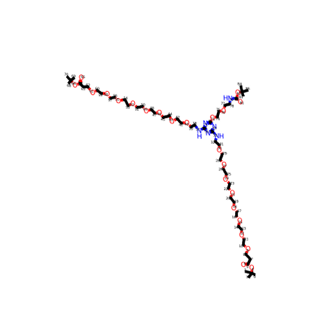 CC(C)(C)OC(=O)CCOCCOCCOCCOCCOCCOCCOCCOCCNc1nc(NCCOCCOCCOCCOCCOCCOCCOCCOCCC(=O)OC(C)(C)C)nc(OCCOCCNC(=O)OC(C)(C)C)n1